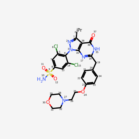 CC(C)c1nn(-c2c(Cl)cc(S(N)(=O)=O)cc2Cl)c2nc(Cc3ccc(OCCN4CCOCC4)cc3)[nH]c(=O)c12